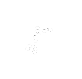 c1ccc2c(-c3ccc4c(c3)sc3ccccc34)nc(-c3ccc4cc(-n5c6ccc7cccc8sc9cccc%10ccc5c(c%109)c6c78)ccc4c3)nc2c1